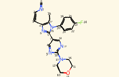 C=N/C=C\c1nc(-c2cnc(N3CCOCC3)nc2)n(-c2ccc(F)cc2)c1C